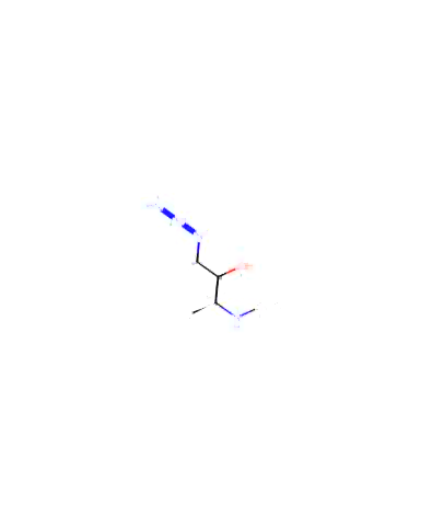 C[C@H](NC(=O)[O-])C(O)CN=[N+]=N